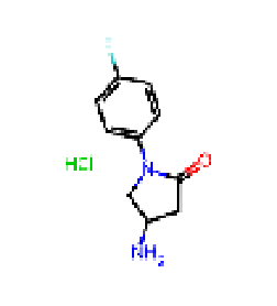 Cl.NC1CC(=O)N(c2ccc(F)cc2)C1